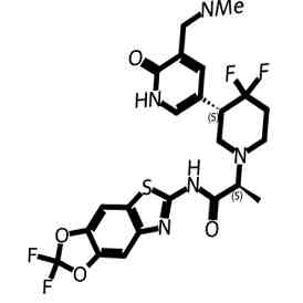 CNCc1cc([C@H]2CN([C@@H](C)C(=O)Nc3nc4cc5c(cc4s3)OC(F)(F)O5)CCC2(F)F)c[nH]c1=O